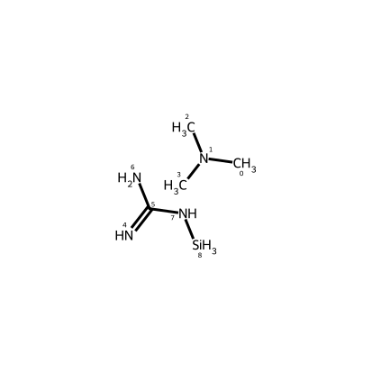 CN(C)C.N=C(N)N[SiH3]